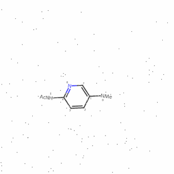 CNc1ccc(NC(C)=O)nc1